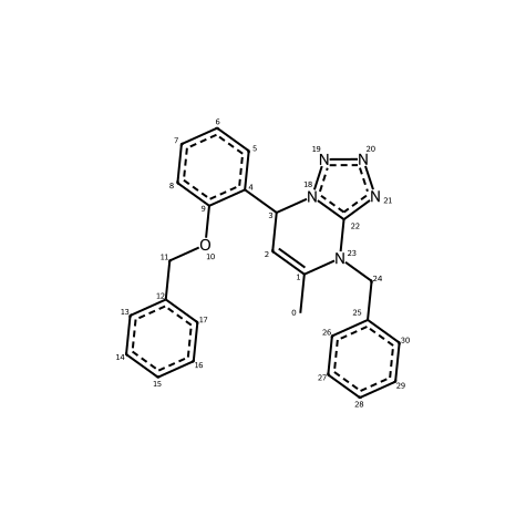 CC1=CC(c2ccccc2OCc2ccccc2)n2nnnc2N1Cc1ccccc1